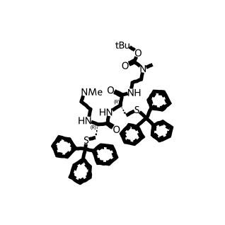 CNCCN[C@@H](CSC(c1ccccc1)(c1ccccc1)c1ccccc1)C(=O)N[C@@H](CSC(c1ccccc1)(c1ccccc1)c1ccccc1)C(=O)NCCN(C)C(=O)OC(C)(C)C